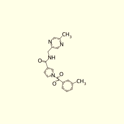 Cc1cccc(S(=O)(=O)n2ccc(C(=O)NCc3cnc(C)cn3)c2)c1